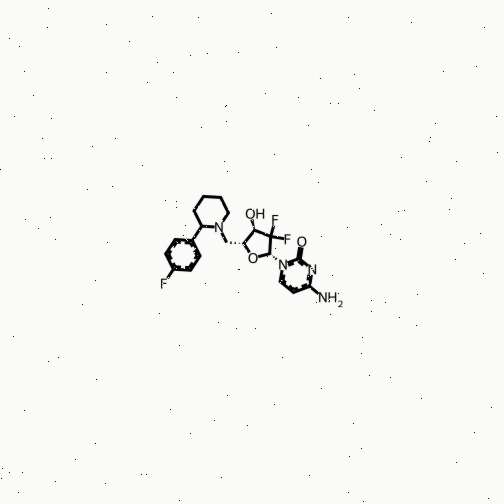 Nc1ccn([C@@H]2O[C@H](CN3CCCCC3c3ccc(F)cc3)[C@@H](O)C2(F)F)c(=O)n1